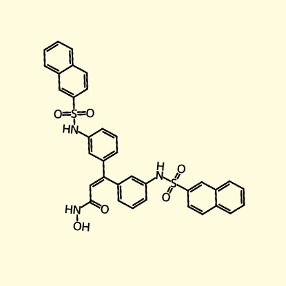 O=C(C=C(c1cccc(NS(=O)(=O)c2ccc3ccccc3c2)c1)c1cccc(NS(=O)(=O)c2ccc3ccccc3c2)c1)NO